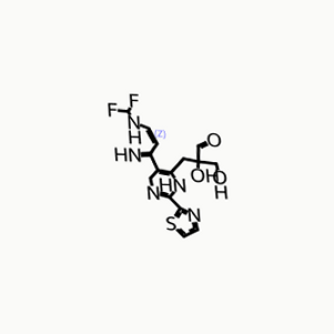 N=C(/C=C\NC(F)F)C1=C(CC(O)(C=O)CO)NC(c2nccs2)=NC1